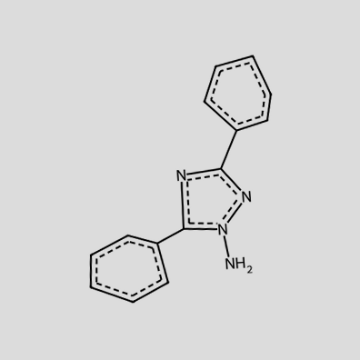 Nn1nc(-c2ccccc2)nc1-c1ccccc1